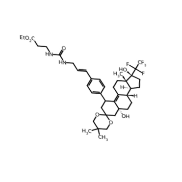 CCOC(=O)CCNC(=O)NC/C=C/c1ccc(C2CC3(C[C@]4(O)CC[C@@H]5C(=C24)CC[C@@]2(C)[C@H]5CC[C@@]2(O)C(F)(F)C(F)(F)F)OCC(C)(C)CO3)cc1